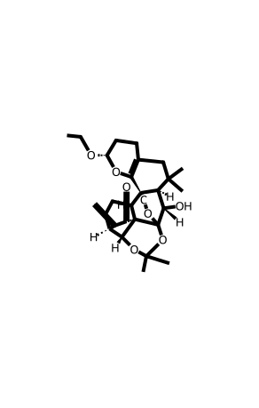 C=C1C(=O)[C@@]23[C@@H]4OC(C)(C)OC25OC[C@]2(C6=C(CC[C@@H](OCC)O6)CC(C)(C)[C@H]2[C@@H]5O)[C@@H]3CC[C@@H]14